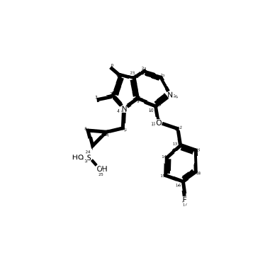 Cc1c(C)n(CC2CC2)c2c(OCc3ccc(F)cc3)nccc12.O=S(=O)(O)O